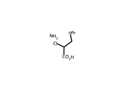 CCCCC(Cl)C(=O)O.N